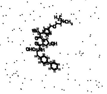 CN(C)CCOCc1cn(C(C(=O)N2C[C@H](O)C[C@H]2C(=O)N[C@@H](C=O)Cc2ccc(-c3ccccc3)cc2)C(C)(C)C)nn1